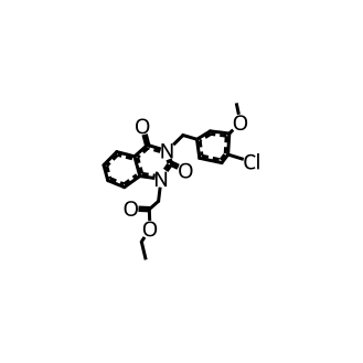 CCOC(=O)Cn1c(=O)n(Cc2ccc(Cl)c(OC)c2)c(=O)c2ccccc21